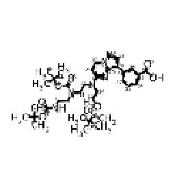 CC(C)(C)OC(=O)NCCN(CCN(CCO[Si](C)(C)C(C)(C)C)c1ccn2ncc(-c3cccc(C(=O)O)c3)c2n1)C(=O)OC(C)(C)C